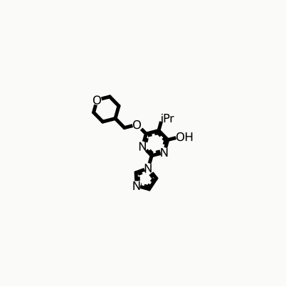 CC(C)c1c(O)nc(-n2ccnc2)nc1OCC1CCOCC1